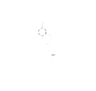 CCOC(=O)CO[C@H]1CNc2cc(N)ccc2OC1